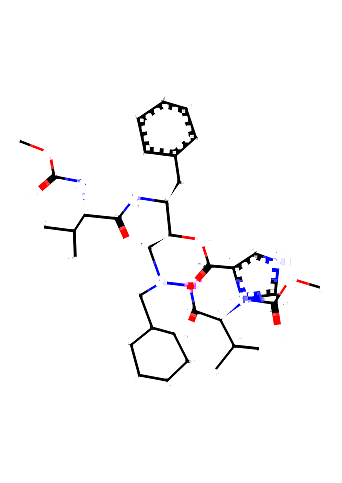 COC(=O)N[C@H](C(=O)N[C@@H](Cc1ccccc1)[C@H](CN(CC1CCCCC1)NC(=O)[C@@H](NC(=O)OC)C(C)C)OC(=O)c1c[nH]cn1)C(C)C